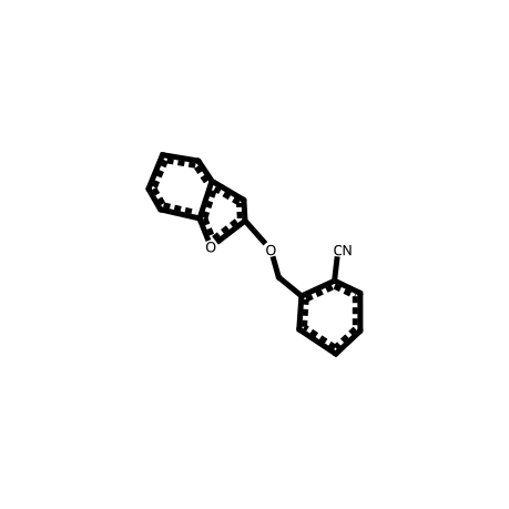 N#Cc1ccccc1COc1cc2ccccc2o1